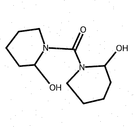 O=C(N1CCCCC1O)N1CCCCC1O